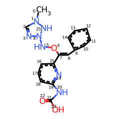 CN1C=NN(NOC(=Cc2ccccc2)c2cccc(NC(=O)O)n2)N1